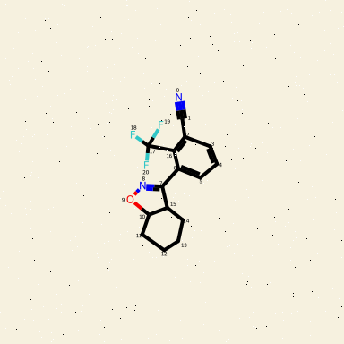 N#Cc1cccc(C2=NOC3CCCCC23)c1C(F)(F)F